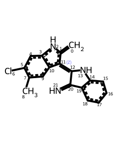 C=c1[nH]c2cc(Cl)c(C)cc2/c1=C1/Nc2ccccc2C1=N